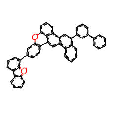 c1ccc(-c2cccc(-c3cc4c5cccc6c5c(cc4c4ccccc34)-c3ccc(-c4cccc5c4oc4ccccc45)cc3O6)c2)cc1